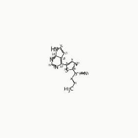 CCCC(C#N)c1ncc(-c2ncnc3[nH]ccc23)s1